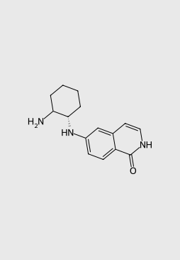 NC1CCCC[C@@H]1Nc1ccc2c(=O)[nH]ccc2c1